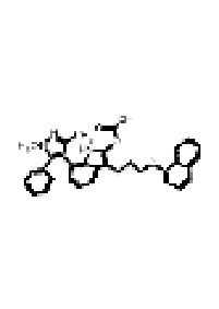 Cc1nn(C)c(-c2ccccc2)c1-c1cccc2c(CCCOc3cccc4ccccc34)c(OC(=O)O)[nH]c12